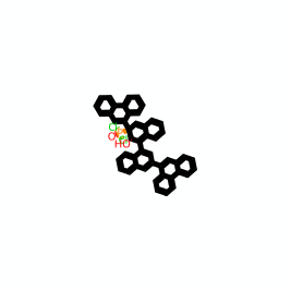 O=P(Cl)(Cl)C1(c2cc3ccccc3c3ccccc23)C=c2ccccc2=C(c2cc(-c3cc4ccccc4c4ccccc34)cc3ccccc23)[C@H]1O